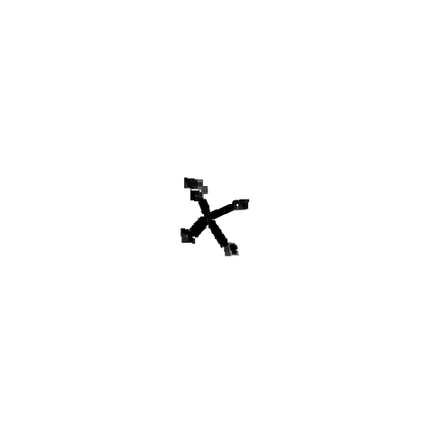 CCS(C#N)(CC)CC.N